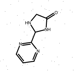 O=C1CNC(c2ncccn2)N1